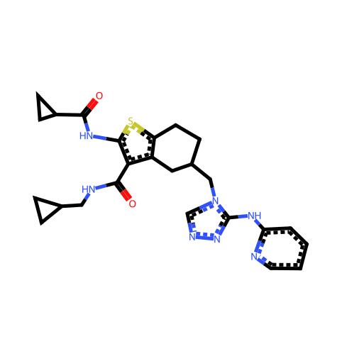 O=C(NCC1CC1)c1c(NC(=O)C2CC2)sc2c1CC(Cn1cnnc1Nc1ccccn1)CC2